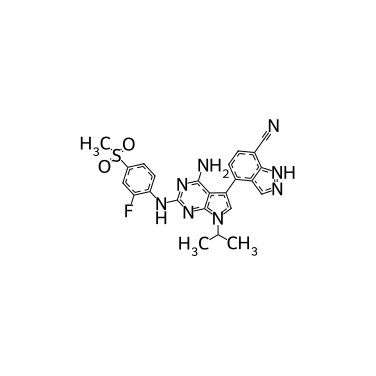 CC(C)n1cc(-c2ccc(C#N)c3[nH]ncc23)c2c(N)nc(Nc3ccc(S(C)(=O)=O)cc3F)nc21